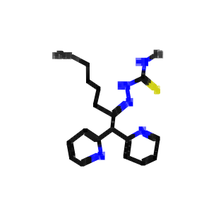 CCCCCCCCCCCCCCC(=NNC(=S)NCC)C(c1ccccn1)c1ccccn1